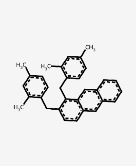 Cc1ccc(Cc2ccc3cc4ccccc4cc3c2Cc2ccc(C)cc2C)c(C)c1